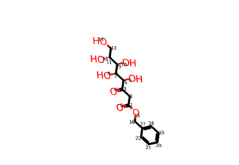 O=C(CC(=O)[C@H](O)[C@@H](O)[C@H](O)[C@H](O)CO)OCc1ccccc1